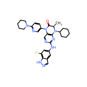 C[C@@H]1C(=O)N(c2ccc(N3CCCCC3)nc2)c2cnc(Nc3cc(F)c4[nH]ncc4c3)nc2N1C1CCCCC1